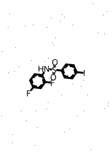 O=S(=O)(Nc1ccc(F)cc1F)c1ccc(I)cc1